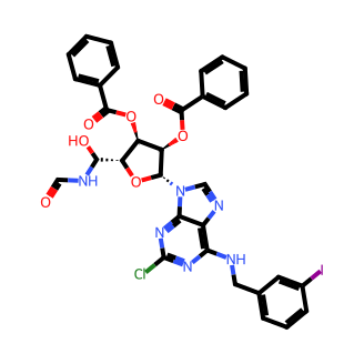 O=CNC(O)[C@H]1O[C@@H](n2cnc3c(NCc4cccc(I)c4)nc(Cl)nc32)[C@H](OC(=O)c2ccccc2)[C@@H]1OC(=O)c1ccccc1